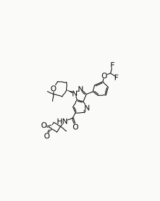 CC1(NC(=O)c2cnc3c(-c4cccc(OC(F)F)c4)nn([C@@H]4CCOC(C)(C)C4)c3c2)CS(=O)(=O)C1